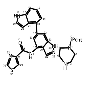 CCCCCN1CCNCC1.O=C(Nc1cc(-c2cccc3[nH]ccc23)cc2[nH]ncc12)c1cscn1